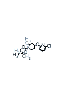 CC1CC(Oc2cccc(Cl)n2)CCN1C(=O)OC(C)(C)C